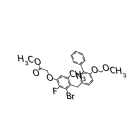 COCOc1ccc(Cc2c(C)cc(OCC(=O)OC)c(F)c2Br)nc1-c1ccccc1